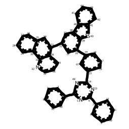 c1ccc(-c2nc(-c3ccccc3)nc(-c3cccc(-c4cc(-c5cc6ccccc6c6ncccc56)cc5c4sc4ccccc45)c3)n2)cc1